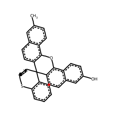 Cc1ccc2c3c(ccc2c1)C1(c2ccccc2Sc2ccccc21)c1ccc2cc(O)ccc2c1O3